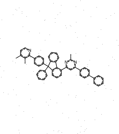 Cc1nc(-c2ccc(-c3ccccc3)cc2)cc(-c2cccc3c2-c2ccccc2C3(c2ccccc2)c2ccc(-c3nccc(C)c3C)cc2)n1